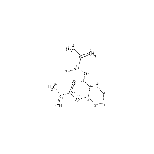 C=C(C)C(=O)OCC1OCCCC1OC(=O)C(=C)C